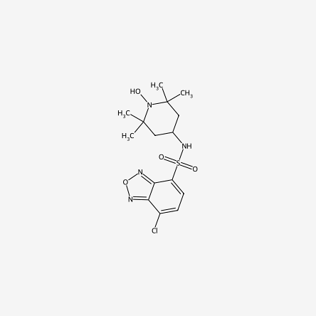 CC1(C)CC(NS(=O)(=O)c2ccc(Cl)c3nonc23)CC(C)(C)N1O